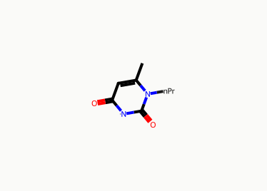 CCCN1C(=O)[N]C(=O)C=C1C